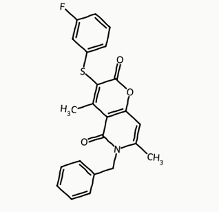 Cc1c(Sc2cccc(F)c2)c(=O)oc2cc(C)n(Cc3ccccc3)c(=O)c12